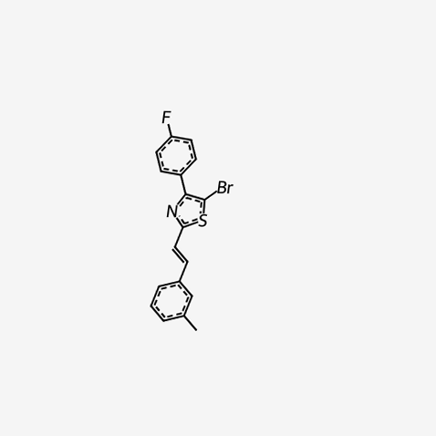 Cc1cccc(/C=C/c2nc(-c3ccc(F)cc3)c(Br)s2)c1